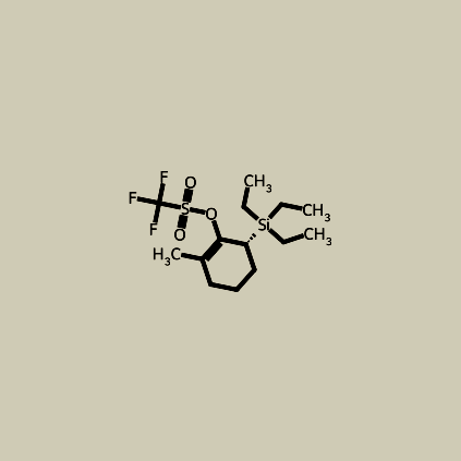 CC[Si](CC)(CC)[C@@H]1CCCC(C)=C1OS(=O)(=O)C(F)(F)F